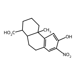 CC12CCCC(C(=O)O)C1CCc1cc([N+](=O)[O-])c(O)cc12